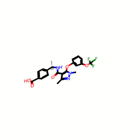 Cc1nn(C)c(Oc2cccc(OC(F)(F)F)c2)c1C(=O)N[C@@H](C)c1ccc(C(=O)O)cc1